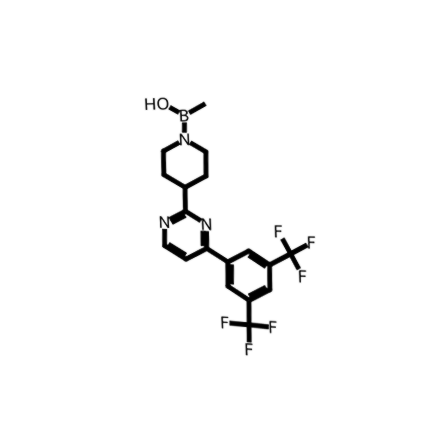 CB(O)N1CCC(c2nccc(-c3cc(C(F)(F)F)cc(C(F)(F)F)c3)n2)CC1